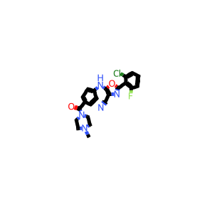 CN1CCN(C(=O)c2ccc(Nc3oc(-c4c(F)cccc4Cl)nc3C#N)cc2)CC1